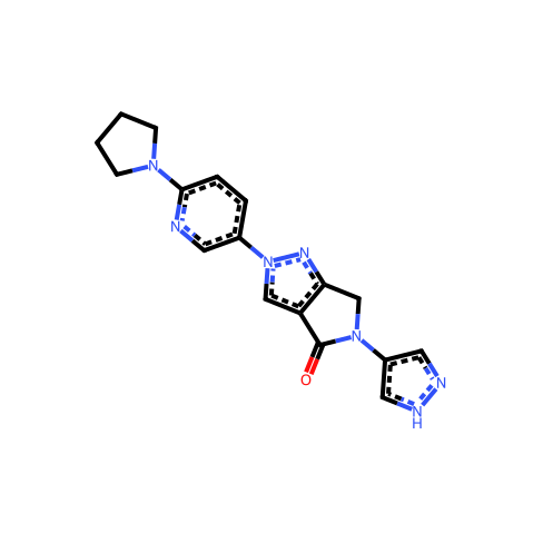 O=C1c2cn(-c3ccc(N4CCCC4)nc3)nc2CN1c1cn[nH]c1